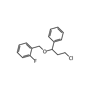 Fc1ccccc1COC(CCCl)c1ccccc1